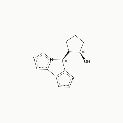 O[C@@H]1CCCC1[C@H]1c2sccc2-c2cncn21